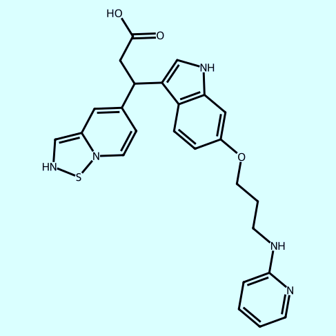 O=C(O)CC(C1=CC2=CNSN2C=C1)c1c[nH]c2cc(OCCCNc3ccccn3)ccc12